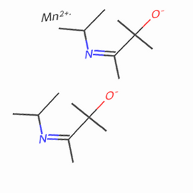 CC(=NC(C)C)C(C)(C)[O-].CC(=NC(C)C)C(C)(C)[O-].[Mn+2]